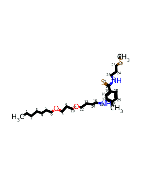 CCCCCCCOCCCOCCCCNc1cc(C(=S)NCCCSC)ccc1C